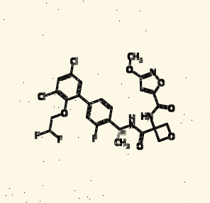 COc1cc(C(=O)NC2(C(=O)N[C@H](C)c3ccc(-c4cc(Cl)cc(Cl)c4OCC(F)F)cc3F)COC2)on1